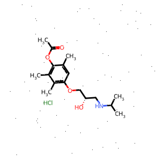 CC(=O)Oc1c(C)cc(OC[C@@H](O)CNC(C)C)c(C)c1C.Cl